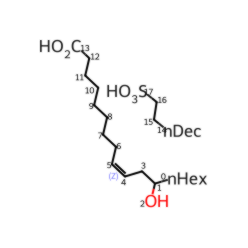 CCCCCCC(O)C/C=C\CCCCCCCC(=O)O.CCCCCCCCCCCCS(=O)(=O)O